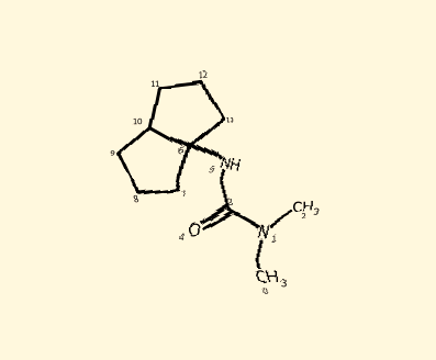 CN(C)C(=O)NC12CCCC1CCC2